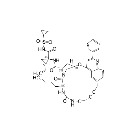 C=C[C@@H]1C[C@]1(NC(=O)[C@@H]1C[C@@H]2CN1C(=O)[C@H](CCCC)NC(=O)NCCCCCc1ccc3nc(-c4ccccc4)cc(c3c1)O2)C(=O)NS(=O)(=O)C1CC1